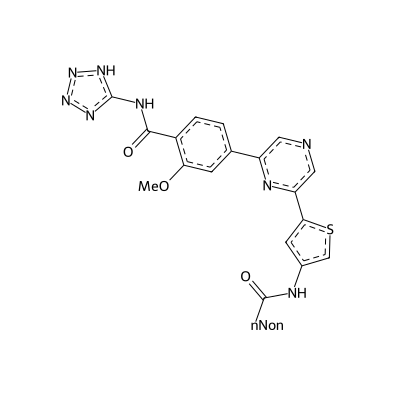 CCCCCCCCCC(=O)Nc1csc(-c2cncc(-c3ccc(C(=O)Nc4nnn[nH]4)c(OC)c3)n2)c1